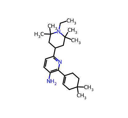 CCN1C(C)(C)CC(c2ccc(N)c(C3=CCC(C)(C)CC3)n2)CC1(C)C